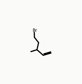 C=CC(C)CCBr